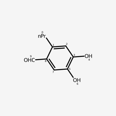 CCCc1cc(O)c(O)cc1C=O